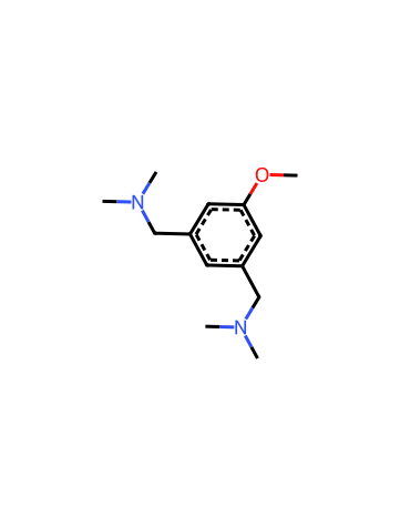 COc1cc(CN(C)C)cc(CN(C)C)c1